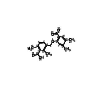 Cc1cc(OCc2ccc(C)c(C(=O)O)c2C)c([N+](=O)[O-])cc1C